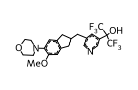 COc1cc2c(cc1N1CCOCC1)CC(Cc1cncc(C(O)(C(F)(F)F)C(F)(F)F)c1)C2